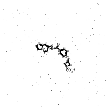 O=C(NCc1ccn2ccnc2c1)c1ccc(OC2CN(C(=O)O)C2)cc1